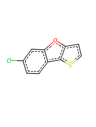 Clc1ccc2c(c1)oc1ccsc12